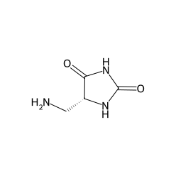 NC[C@H]1NC(=O)NC1=O